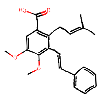 COc1cc(C(=O)O)c(CC=C(C)C)c(C=Cc2ccccc2)c1OC